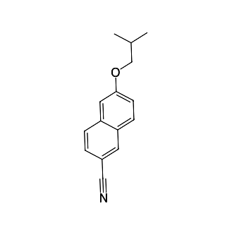 CC(C)COc1ccc2cc(C#N)ccc2c1